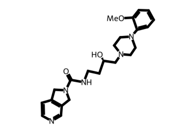 COc1ccccc1N1CCN(C[C@H](O)CCNC(=O)N2Cc3ccncc3C2)CC1